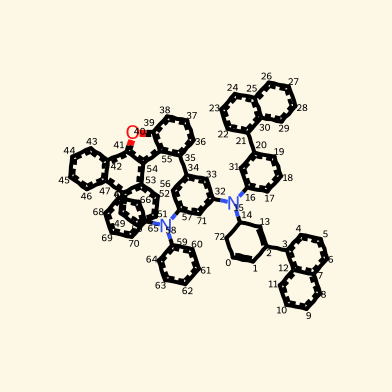 C1=CC(c2cccc3ccccc23)=CC(N(c2cccc(-c3cccc4ccccc34)c2)c2cc(-c3cccc4oc5c6ccccc6c6ccccc6c5c34)cc(N(c3ccccc3)c3ccccc3)c2)C1